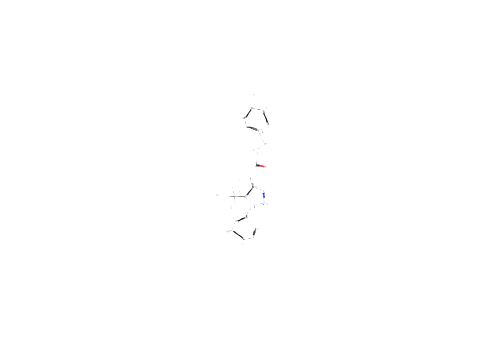 O=C(NCc1ccc(F)cc1)Oc1cnn(-c2ccccc2)c1C(F)(F)F